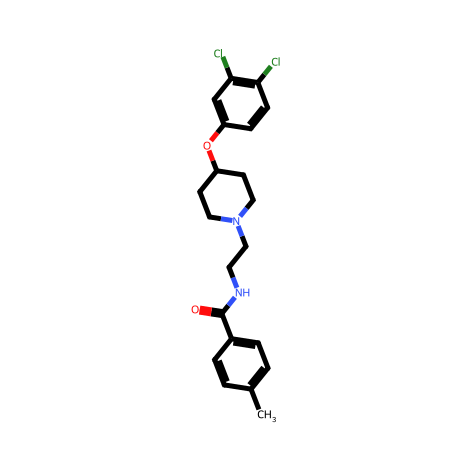 Cc1ccc(C(=O)NCCN2CCC(Oc3ccc(Cl)c(Cl)c3)CC2)cc1